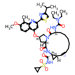 CCN(CC)C(=O)N[C@H]1CCCCC/C=C\[C@@H]2C[C@@]2(C(=O)NS(=O)(=O)C2CC2)NC(=O)[C@@H]2C[C@@H](Oc3cc(-c4nc(C(C)C)cs4)nc4c(C)c(OC)ccc34)CN2C1=O